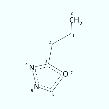 [CH2]CCc1nnco1